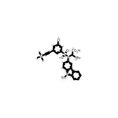 CCn1c2ccccc2c2cc(N(C(C(=O)O)C(C)(C)C)S(=O)(=O)c3cc(Cl)cc(C#C[Si](C)(C)C)c3)ccc21